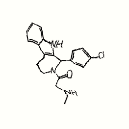 CNCC(=O)N1CCc2c([nH]c3ccccc23)C1c1ccc(Cl)cc1